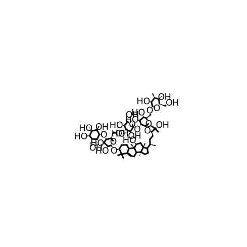 C[C@@H]1[C@@H](O)[C@H](OC[C@H]2O[C@@H](O[C@H](CC[C@@H](C)C3CC[C@@]4(C)C5CC=C6C(CC[C@H](O[C@@H]7O[C@H](CO)[C@@H](O[C@@H]8C[C@H](CO)[C@@H](O)[C@H](O)[C@H]8O)[C@H](O)[C@H]7O)C6(C)C)[C@]5(C)[C@H](O)C[C@]34C)C(C)(C)O)[C@H](O[C@H]3O[C@@H](CO)[C@H](O)[C@@H](O)[C@@H]3O)[C@@H](O)[C@@H]2O)O[C@H](CO)[C@H]1O